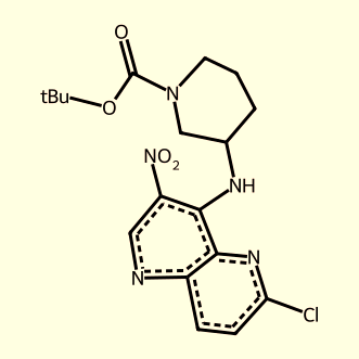 CC(C)(C)OC(=O)N1CCCC(Nc2c([N+](=O)[O-])cnc3ccc(Cl)nc23)C1